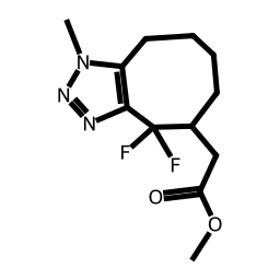 COC(=O)CC1CCCCc2c(nnn2C)C1(F)F